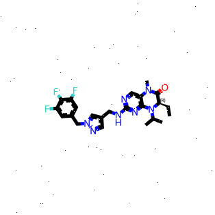 CC[C@@H]1C(=O)N(C)c2cnc(NCc3cnn(Cc4cc(F)c(F)c(F)c4)c3)nc2N1C(C)C